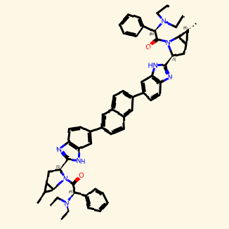 CCN(CC)[C@@H](C(=O)N1C2C(C)C2C[C@H]1c1nc2ccc(-c3ccc4cc(-c5ccc6nc([C@@H]7CC8C([C@@H]8C)N7C(=O)[C@@H](c7ccccc7)N(CC)CC)[nH]c6c5)ccc4c3)cc2[nH]1)c1ccccc1